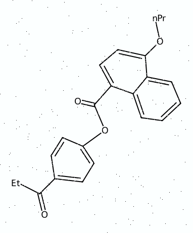 CCCOc1ccc(C(=O)Oc2ccc(C(=O)CC)cc2)c2ccccc12